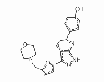 Oc1ccc(-c2ccc3c(-c4ccc(CN5CCOCC5)o4)n[nH]c3n2)cc1